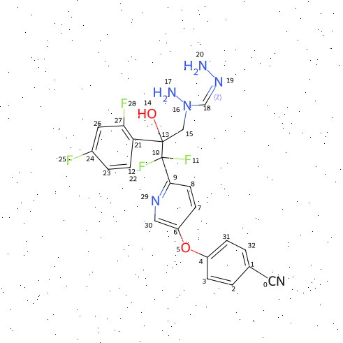 N#Cc1ccc(Oc2ccc(C(F)(F)C(O)(CN(N)/C=N\N)c3ccc(F)cc3F)nc2)cc1